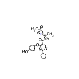 C[C@@H](/C=C/S(C)(=O)=O)NC(=O)c1cnc(C2CCCC2)nc1Oc1ccc(O)cc1